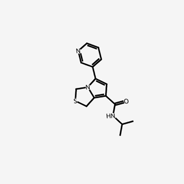 CC(C)NC(=O)c1cc(-c2cccnc2)n2c1CSC2